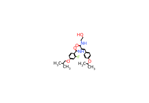 CC(C)COc1ccc(C(=O)N/C(=C\c2ccc(OC(C)C)cc2)C(=O)NCCO)c(F)c1